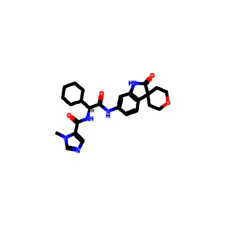 Cn1cncc1C(=O)N[C@H](C(=O)Nc1ccc2c(c1)NC(=O)C21CCOCC1)C1CCCCC1